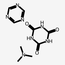 CN(C)C.O=c1[nH]c(=O)[nH]c(=O)[nH]1.c1ncncn1